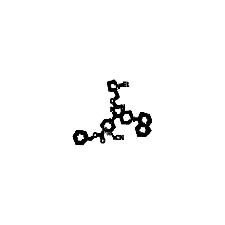 CCN1CCCC1COc1nc2c(c(N3CCN(C(=O)OCc4ccccc4)[C@@H](CC#N)C3)n1)CCN(c1cccc3ccccc13)C2